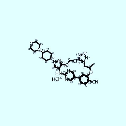 CC(Cn1cnnn1)Oc1cc(-c2cnc(Nc3cn([C@H]4CC[C@H](N5CCOCC5)CC4)nc3OCC(F)(F)F)nc2)ccc1C#N.Cl